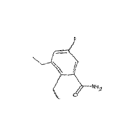 CCc1cc(F)cc(C(N)=O)c1CC